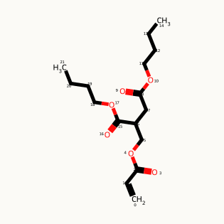 C=CC(=O)OCC(CC(=O)OCCCC)C(=O)OCCCC